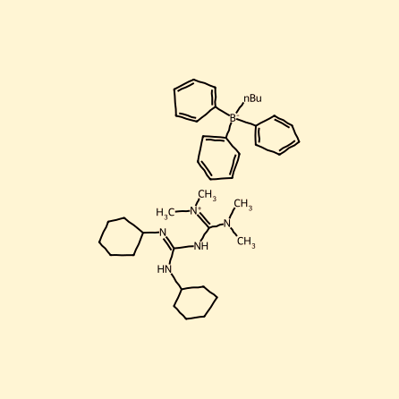 CCCC[B-](c1ccccc1)(c1ccccc1)c1ccccc1.CN(C)C(NC(=NC1CCCCC1)NC1CCCCC1)=[N+](C)C